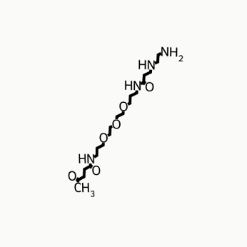 CC(=O)CCC(=O)NCCCOCCOCCOCCCNC(=O)CCNCCN